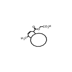 CC1C=CC(C(=O)OCC(=O)O)C2CCCCCCCCCCCCC1C2